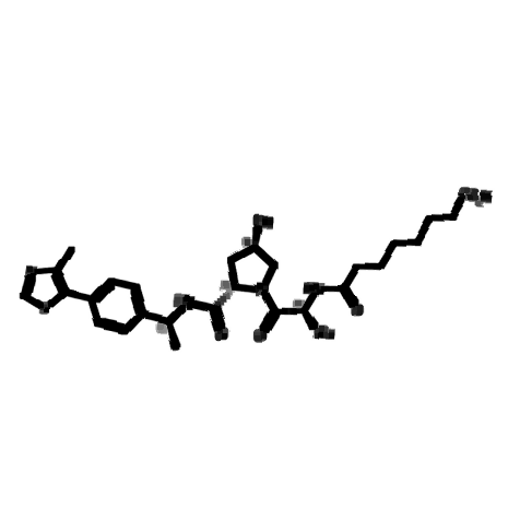 Cc1ncsc1-c1ccc([C@H](C)NC(=O)[C@@H]2C[C@@H](O)CN2C(=O)[C@@H](NC(=O)CCCCCCC(=O)O)C(C)(C)C)cc1